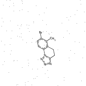 Cc1c(Br)ccc2c1CCc1nnnn1-2